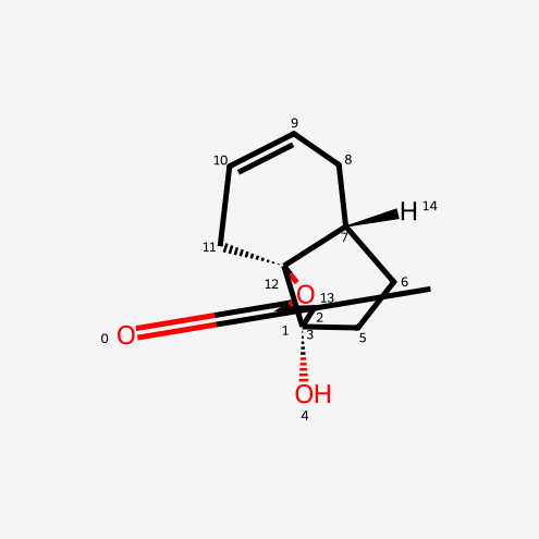 O=C1C[C@@]2(O)CC[C@H]3CC=CC[C@@]32O1